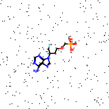 Nc1ncnc2c1ncn2C(CF)CCOCP(=O)(O)O